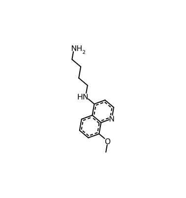 COc1cccc2c(NCCCCN)ccnc12